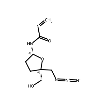 C=NC(=O)N[C@H]1CC[C@](CO)(CN=[N+]=[N-])O1